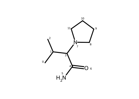 CC(C)C(C(N)=O)N1CCCC1